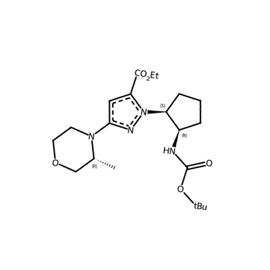 CCOC(=O)c1cc(N2CCOC[C@H]2C)nn1[C@H]1CCC[C@H]1NC(=O)OC(C)(C)C